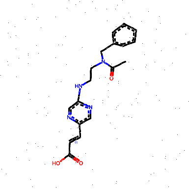 CC(=O)N(CCNc1cnc(/C=C/C(=O)O)cn1)Cc1ccccc1